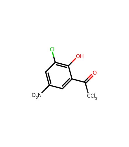 O=C(c1cc([N+](=O)[O-])cc(Cl)c1O)C(Cl)(Cl)Cl